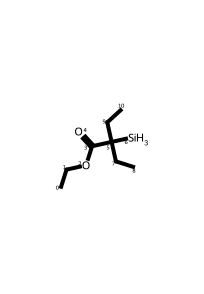 CCOC(=O)C([SiH3])(CC)CC